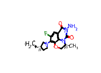 [CH2]C[C@H]1CCN(c2c(F)cc3c(=O)n(N)c(=O)n4c3c2OC[C@H]4C)C1